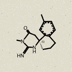 Cc1ccc2c(c1)[C@]1(CCC2)CC(=O)N(C)C(=N)N1